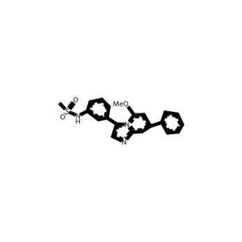 COc1cc(-c2ccccc2)cc2ncc(-c3cccc(NS(C)(=O)=O)c3)n12